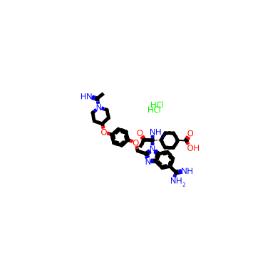 CC(=N)N1CCC(Oc2ccc(OCc3nc4cc(C(=N)N)ccc4n3C(N)(C(C)=O)[C@H]3CC[C@H](C(=O)O)CC3)cc2)CC1.Cl.Cl